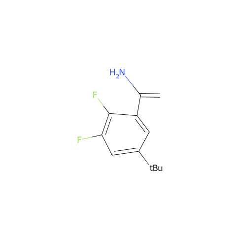 C=C(N)c1cc(C(C)(C)C)cc(F)c1F